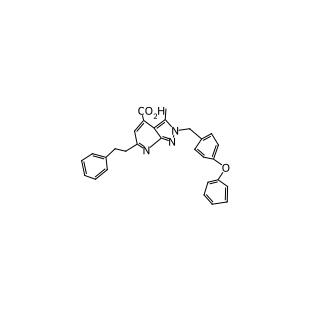 Cc1c2c(C(=O)O)cc(CCc3ccccc3)nc2nn1Cc1ccc(Oc2ccccc2)cc1